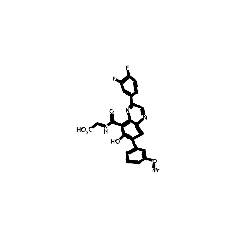 CC(C)Oc1cccc(-c2cc3ncc(-c4ccc(F)c(F)c4)nc3c(C(=O)NCC(=O)O)c2O)c1